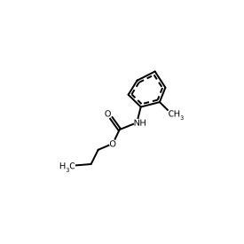 CCCOC(=O)Nc1ccccc1C